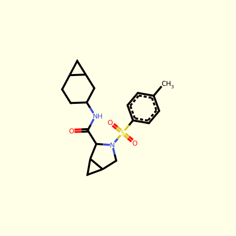 Cc1ccc(S(=O)(=O)N2CC3CC3C2C(=O)NC2CCC3CC3C2)cc1